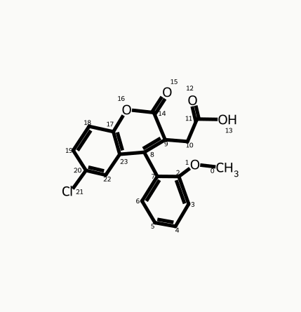 COc1ccccc1-c1c(CC(=O)O)c(=O)oc2ccc(Cl)cc12